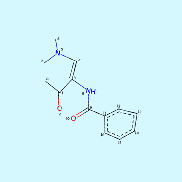 CC(=O)/C(=C\N(C)C)NC(=O)c1ccccc1